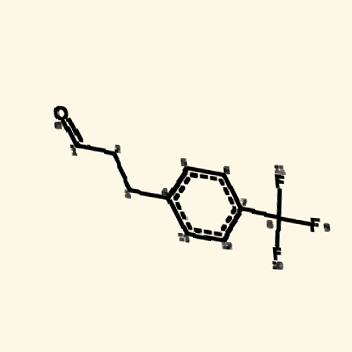 O=[C]CCc1ccc(C(F)(F)F)cc1